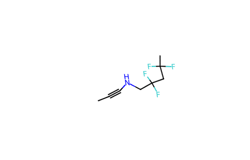 CC#CNCC(F)(F)CC(C)(F)F